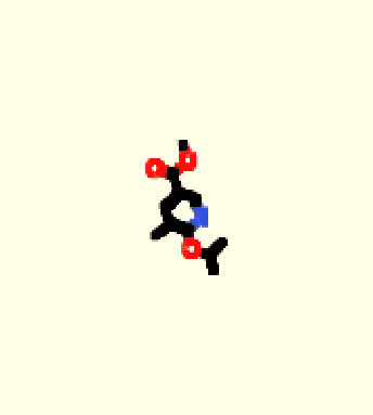 COC(=O)c1cnc(OC(C)C)c(C)c1